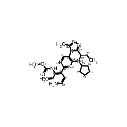 C=C/C(NC(=O)OC)=C(\C=C/N)c1ncc2c(n1)N(C1CCCC1)[C@H](CC)c1nnc(C)n1-2